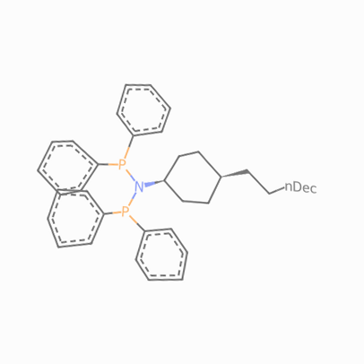 CCCCCCCCCCCC[C@H]1CC[C@@H](N(P(c2ccccc2)c2ccccc2)P(c2ccccc2)c2ccccc2)CC1